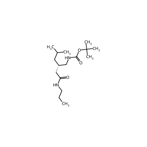 CCCNC(=O)C[C@@H](CNC(=O)OC(C)(C)C)CC(C)C